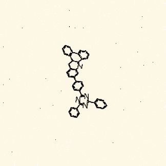 c1ccc(-c2nc(-c3ccccc3)nc(-c3ccc(-c4ccc5c(c4)N=C4c6ccccc6-c6ccccc6C4C5)cc3)n2)cc1